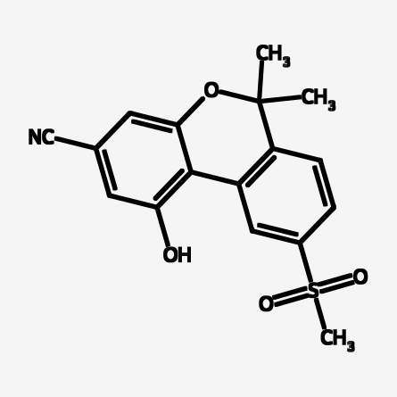 CC1(C)Oc2cc(C#N)cc(O)c2-c2cc(S(C)(=O)=O)ccc21